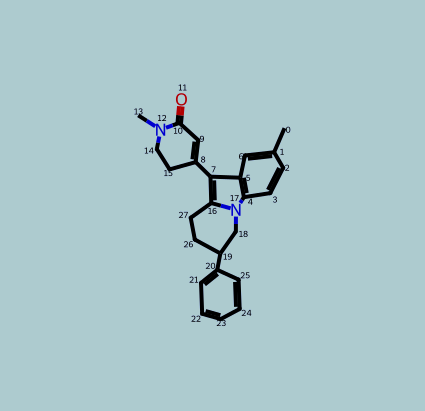 Cc1ccc2c(c1)c(C1=CC(=O)N(C)CC1)c1n2CC(c2ccccc2)CC1